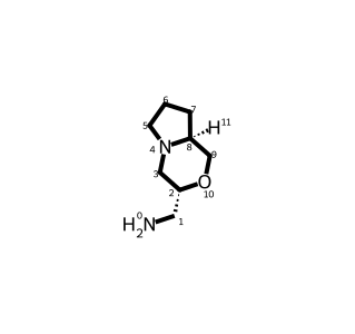 NC[C@@H]1CN2CCC[C@H]2CO1